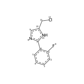 Fc1ccccc1-c1ncc(CCl)[nH]1